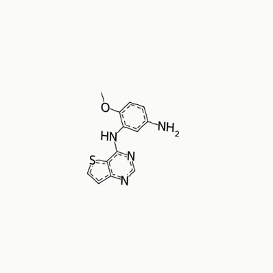 COc1ccc(N)cc1Nc1ncnc2ccsc12